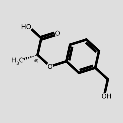 C[C@@H](Oc1cccc(CO)c1)C(=O)O